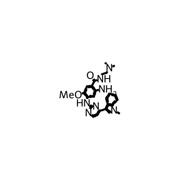 COc1cc(C(=O)NCCN(C)C)c(N)cc1Nc1nccc(-c2cn(C)c3ccccc23)n1